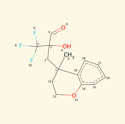 CC1(CC(O)(C=O)C(F)(F)F)CCOc2ccccc21